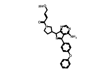 COC/C=C/C(=O)N1CCC(C2N=C(c3ccc(Oc4ccccc4)cc3)c3c(N)ncnc32)C1